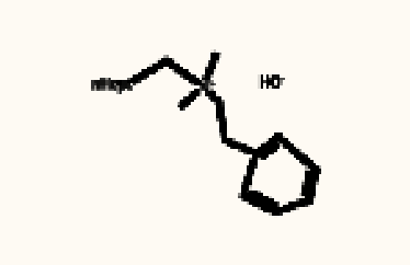 CCCCCCCC[N+](C)(C)CCc1ccccc1.[OH-]